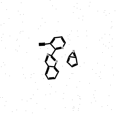 C#Cc1cccnc1-c1ncc2ccccc2n1.c1cc2nc-2c1